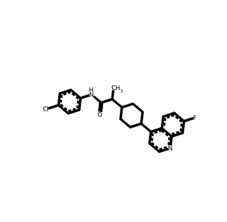 CC(C(=O)Nc1ccc(Cl)cc1)C1CCC(c2ccnc3cc(F)ccc23)CC1